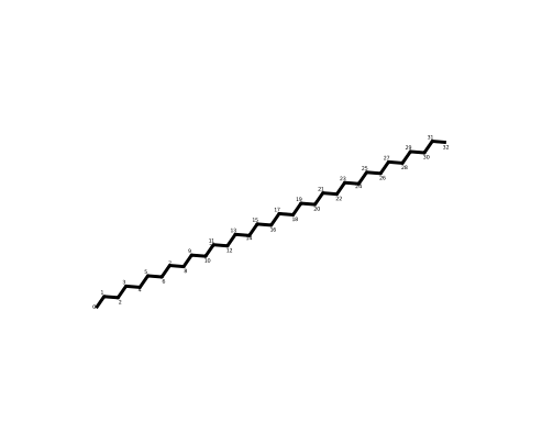 CCCCCCCCCCC[CH]CCCCCCCCCCCCCCCCCCCCC